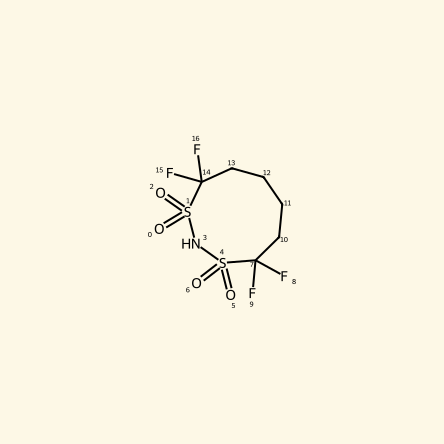 O=S1(=O)NS(=O)(=O)C(F)(F)CCCCC1(F)F